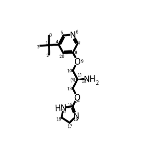 CC(C)(C)c1cncc(OC[C@@H](N)COC2=NCCN2)c1